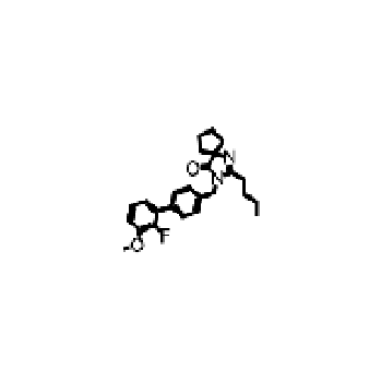 CCCCC1=NC2(CCCC2)C(=O)N1Cc1ccc(-c2cccc(OC)c2F)cc1